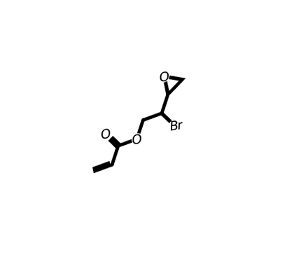 C=CC(=O)OCC(Br)C1CO1